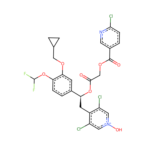 O=C(COC(=O)c1ccc(Cl)nc1)O[C@@H](Cc1c(Cl)c[n+](O)cc1Cl)c1ccc(OC(F)F)c(OCC2CC2)c1